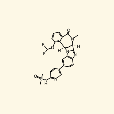 CN1C(=O)c2cccc(OC(F)F)c2[C@H]2C[C@@H]1c1nc3ccc(-c4ccc(NP(C)(C)=O)nc4)cc3n12